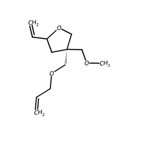 C=CCOC[C@@]1(COC)COC(C=C)C1